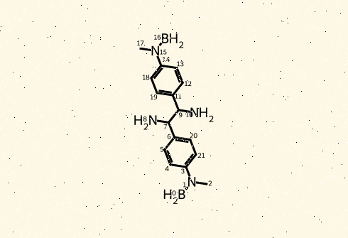 BN(C)c1ccc(C(N)C(N)c2ccc(N(B)C)cc2)cc1